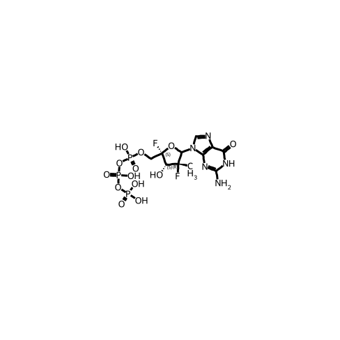 C[C@]1(F)C(n2cnc3c(=O)[nH]c(N)nc32)O[C@](F)(COP(=O)(O)OP(=O)(O)OP(=O)(O)O)[C@H]1O